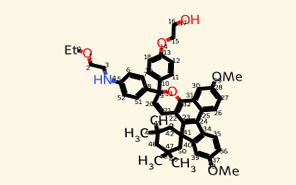 CCOCCNc1ccc(C2(c3ccc(OCCO)cc3)C=Cc3c4c(c5ccc(OC)cc5c3O2)-c2ccc(OC)cc2C42CC(C)(C)CC(C)(C)C2)cc1